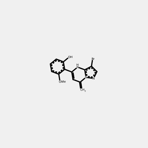 C=C1C=C(c2c(O)cccc2OC)Nc2c(Br)cnn21